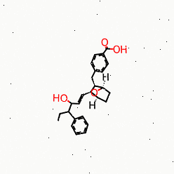 CCC(c1ccccc1)C(O)C=C[C@H]1[C@@H](Cc2ccc(C(=O)O)cc2)[C@H]2CC[C@@H]1O2